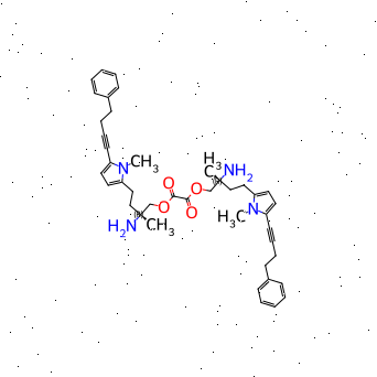 Cn1c(C#CCCc2ccccc2)ccc1CC[C@@](C)(N)COC(=O)C(=O)OC[C@](C)(N)CCc1ccc(C#CCCc2ccccc2)n1C